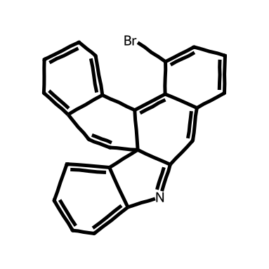 Brc1cccc2c1=C1c3ccccc3C=CC13C(=Nc1ccccc13)C=2